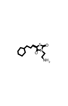 NCCN1C(=O)SC(=CCCC2CCCCC2)C1=O